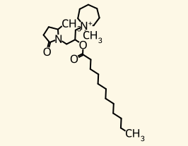 CCCCCCCCCCCC(=O)OC(CN1C(=O)CCC1C)C[N+]1(C)CCCCCC1